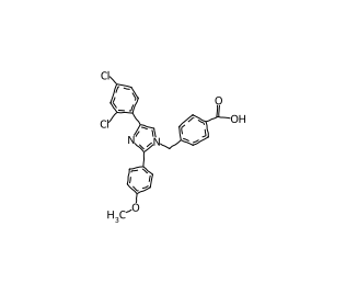 COc1ccc(-c2nc(-c3ccc(Cl)cc3Cl)cn2Cc2ccc(C(=O)O)cc2)cc1